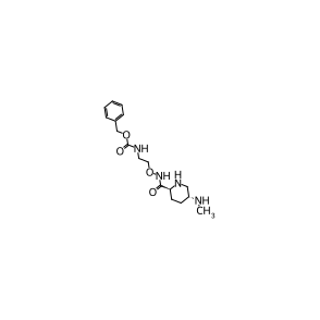 CN[C@@H]1CC[C@@H](C(=O)NOCCNC(=O)OCc2ccccc2)NC1